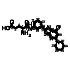 N[C@H](CCC(=O)O)C(=O)Nc1cccc(-c2nn3c(=O)cc(N4CCCCC4)nc3s2)c1